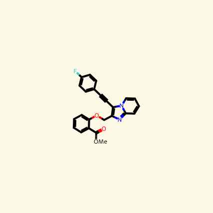 COC(=O)c1ccccc1OCc1nc2ccccn2c1C#Cc1ccc(F)cc1